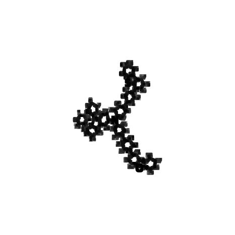 c1ccc(C2(c3ccccc3)c3ccccc3-c3cc(N(c4ccc(-c5ccc(-c6ccc7oc8ccccc8c7c6)cc5)cc4)c4ccc(-c5ccc(-c6cccc7c6sc6ccccc67)cc5)cc4)ccc32)cc1